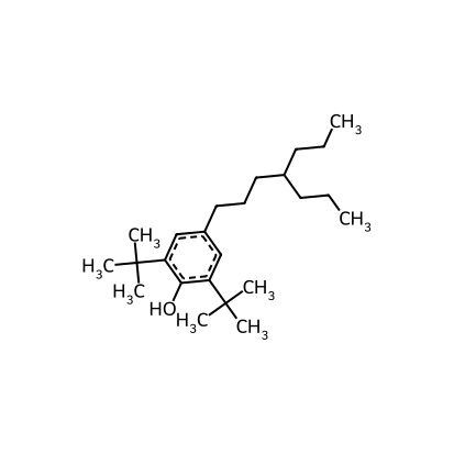 CCCC(CCC)CCCc1cc(C(C)(C)C)c(O)c(C(C)(C)C)c1